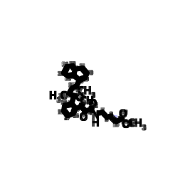 C=C(C(=O)C(=O)NCC/C=C/C(=O)OC)c1ccccc1C(=O)[C@@H](C)C[C@H](C)c1cccc2ccccc12